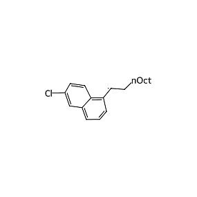 [CH2]CCCCCCCC[CH]c1cccc2cc(Cl)ccc12